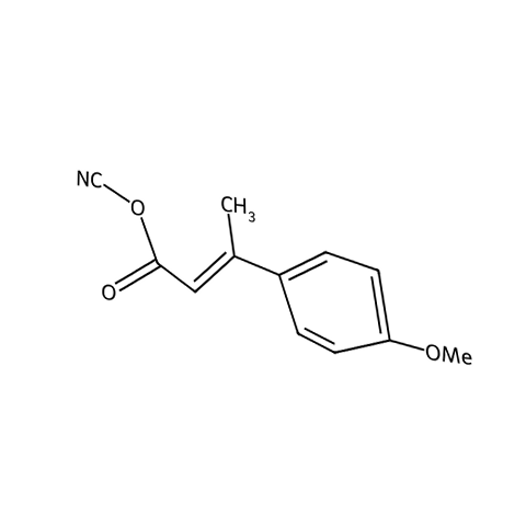 COc1ccc(C(C)=CC(=O)OC#N)cc1